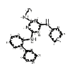 CC(C)Nc1nc(Nc2ccccc2)nc(Nc2ccccc2-c2ccccc2)n1